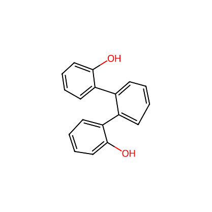 Oc1ccccc1-c1ccccc1-c1ccccc1O